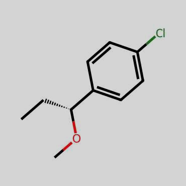 CC[C@@H](OC)c1ccc(Cl)cc1